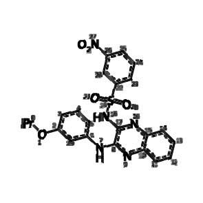 CC(C)Oc1cccc(Nc2nc3ccccc3nc2NS(=O)(=O)c2cccc([N+](=O)[O-])c2)c1